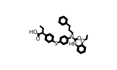 CCOc1ccccc1NC(=O)N(CCCc1ccccc1)c1ccc(Sc2ccc(C(CC)C(=O)O)cc2)cc1